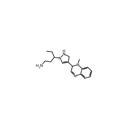 CCC(CCN)N1C=C(C2C=Nc3ccccc3N2C)CN1